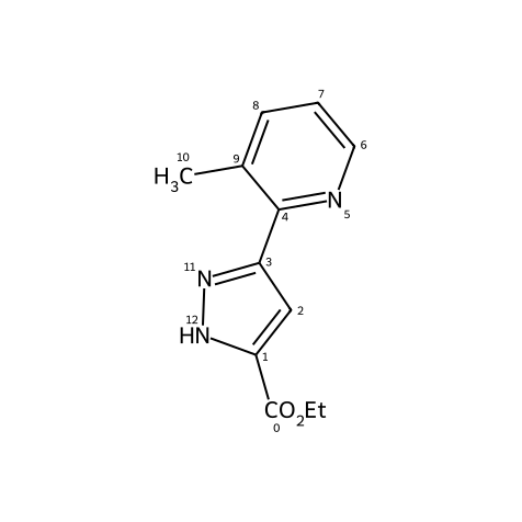 CCOC(=O)c1cc(-c2ncccc2C)n[nH]1